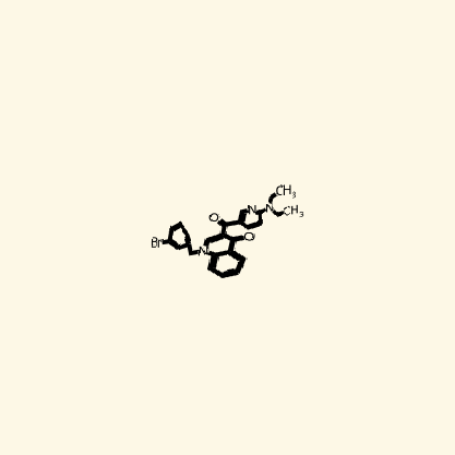 CCN(CC)c1ccc(C(=O)c2cn(Cc3cccc(Br)c3)c3ccccc3c2=O)cn1